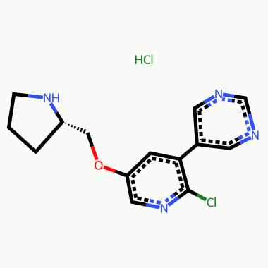 Cl.Clc1ncc(OC[C@@H]2CCCN2)cc1-c1cncnc1